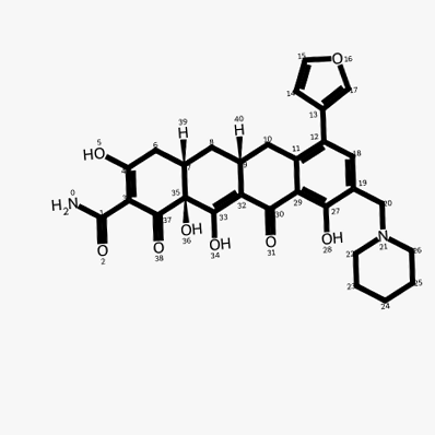 NC(=O)C1=C(O)C[C@@H]2C[C@@H]3Cc4c(-c5ccoc5)cc(CN5CCCCC5)c(O)c4C(=O)C3=C(O)[C@]2(O)C1=O